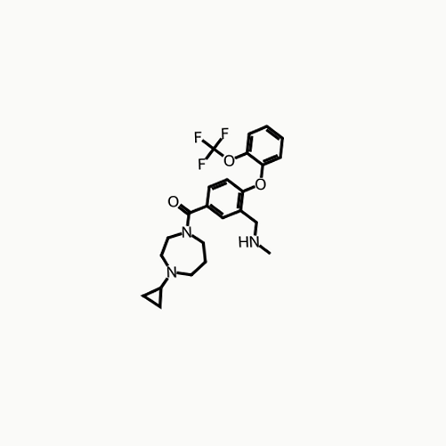 CNCc1cc(C(=O)N2CCCN(C3CC3)CC2)ccc1Oc1ccccc1OC(F)(F)F